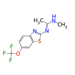 CN/C(C)=N/c1nc2ccc(OC(F)(F)F)cc2s1